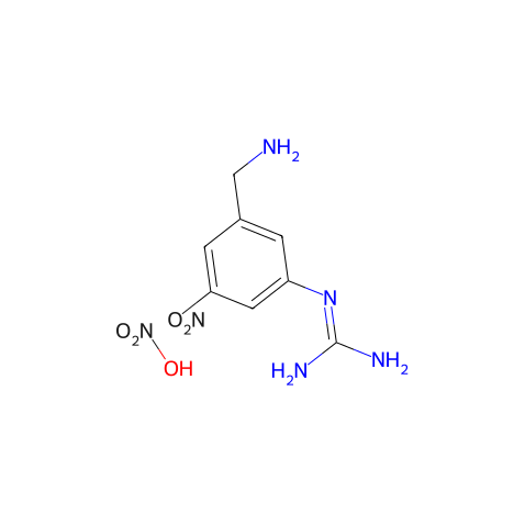 NCc1cc(N=C(N)N)cc([N+](=O)[O-])c1.O=[N+]([O-])O